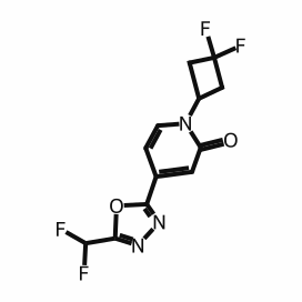 O=c1cc(-c2nnc(C(F)F)o2)ccn1C1CC(F)(F)C1